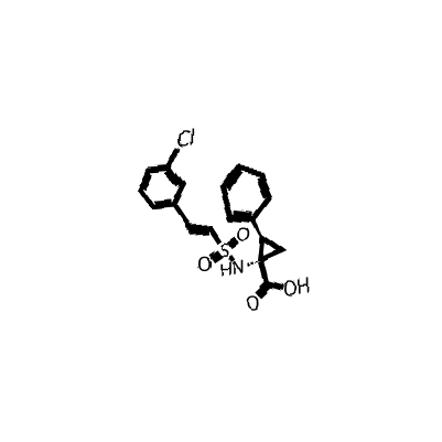 O=C(O)[C@]1(NS(=O)(=O)/C=C/c2cccc(Cl)c2)C[C@@H]1c1ccccc1